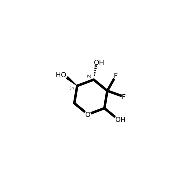 OC1OC[C@@H](O)[C@H](O)C1(F)F